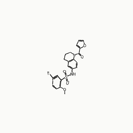 COc1ccc(F)cc1S(=O)(=O)Nc1ccc2c(c1)CCCN2C(=O)c1ccco1